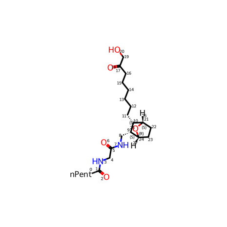 CCCCCC(=O)NCC(=O)NC[C@@H]1[C@H](CCCCCCC(=O)CO)[C@@H]2CC[C@H]1O2